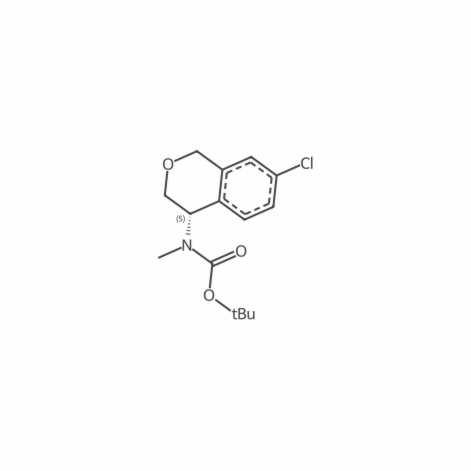 CN(C(=O)OC(C)(C)C)[C@@H]1COCc2cc(Cl)ccc21